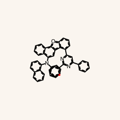 c1ccc(-c2cc(-c3cccc4oc5c6ccccc6c(N(c6ccccc6)c6cccc7ccccc67)cc5c34)nc(-c3ccccc3)n2)cc1